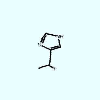 CC([S])c1c[nH]cn1